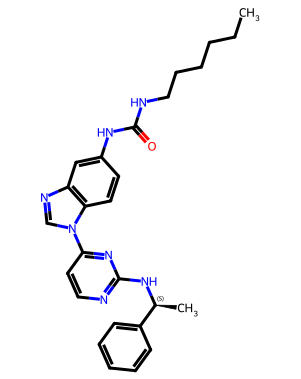 CCCCCCNC(=O)Nc1ccc2c(c1)ncn2-c1ccnc(N[C@@H](C)c2ccccc2)n1